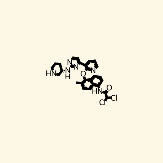 Cc1ccc2c(NC(=O)C(Cl)Cl)cccc2c1Oc1ncccc1-c1ccnc(N[C@H]2CCCNC2)n1